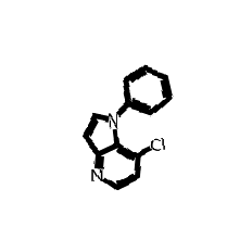 Clc1ccnc2ccn(-c3ccccc3)c12